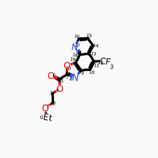 CCOCCOC(=O)c1nc2cc(C(F)(F)F)c3cccnc3c2o1